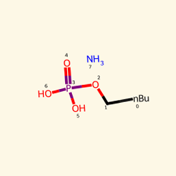 CCCCCOP(=O)(O)O.N